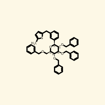 Cc1ccc(Cc2cccc([C@@H]3O[C@H](COCc4ccccc4)[C@@H](OCc4ccccc4)[C@H](OCc4ccccc4)[C@H]3OCc3ccccc3)c2)s1